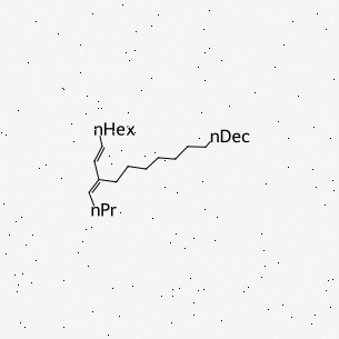 CCCC=C(C=CCCCCCC)CCCCCCCCCCCCCCCCC